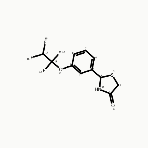 O=C1CSC(c2cccc(OC(F)(F)C(F)F)c2)N1